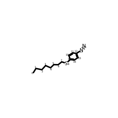 CCCCCCCCSc1ccc([N+]#N)cc1